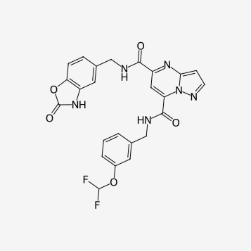 O=C(NCc1ccc2oc(=O)[nH]c2c1)c1cc(C(=O)NCc2cccc(OC(F)F)c2)n2nccc2n1